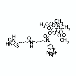 CC(=O)OC[C@H]1O[C@H](OCC(=O)N(CCCCCCNC(=O)CCCCC2SCC3NC(=O)NC32)Cc2ccc(C3(C(F)(F)F)N=N3)cc2)[C@@H](OC(C)=O)[C@@H](OC(C)=O)[C@H]1OC(C)=O